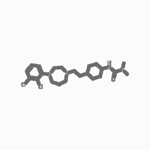 CN(C)C(=O)NC1CCC(CCN2CCCN(c3cccc(Cl)c3Cl)CC2)CC1